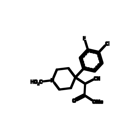 COC(=O)C(C#N)C1(c2ccc(Cl)c(F)c2)CCN(C(=O)O)CC1